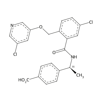 C[C@H](NC(=O)c1cc(Cl)ccc1COc1cncc(Cl)c1)c1ccc(C(=O)O)cc1